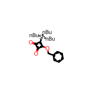 CCC[CH2][Sn]([CH2]CCC)([CH2]CCC)[c]1c(OCc2ccccc2)c(=O)c1=O